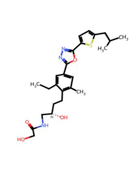 CCc1cc(-c2nnc(-c3ccc(CC(C)C)s3)o2)cc(C)c1CC[C@H](O)CNC(=O)CO